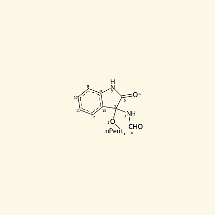 CCCCCOC1(NC=O)C(=O)Nc2ccccc21